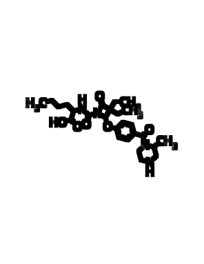 CCCCC(NC(=O)N1C(=O)C(CC)(CC)C1Oc1ccc(C(=O)N2CCNCC2C)cc1)C(=O)O